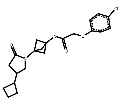 O=C(COc1ccc(Cl)cc1)NC12CC(N3CC(C4CCC4)CC3=O)(C1)C2